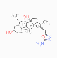 CC[C@@H]1C2C[C@H](O)CC[C@]2(C)[C@H]2CC[C@]3(C)[C@@H]([C@H](C)CCc4nnc(N)o4)CC[C@H]3[C@@H]2[C@@H]1O